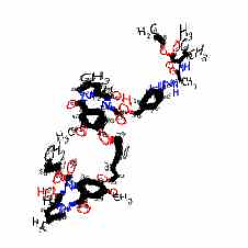 C=CCOC(=O)C(=O)[C@@H](NC(=O)[C@H](C)NNc1ccc(COC(=O)N2c3cc(OCCCCCOc4cc5c(cc4OC)C(=O)N4C=C(C)C[C@H]4[C@H](O)N5C(=O)OCC=C)c(OC)cc3C(=O)N3C=C(C)C[C@H]3[C@@H]2O)cc1)C(C)C